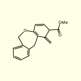 C=C1C2=C(C=CC1C(=O)OC)OCc1ccccc1C2